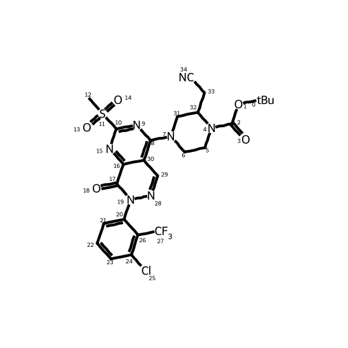 CC(C)(C)OC(=O)N1CCN(c2nc(S(C)(=O)=O)nc3c(=O)n(-c4cccc(Cl)c4C(F)(F)F)ncc23)CC1CC#N